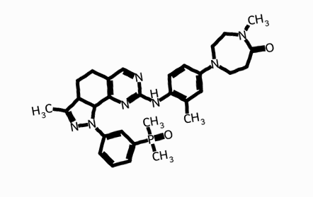 CC1=NN(c2cccc(P(C)(C)=O)c2)C2c3nc(Nc4ccc(N5CCC(=O)N(C)CC5)cc4C)ncc3CCC12